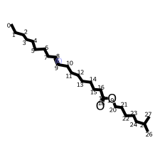 CCCCCCCC/C=C/CCCCCCCC(=O)OCCCCCC(C)C